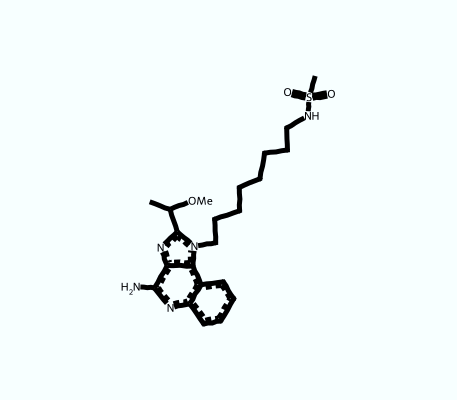 COC(C)c1nc2c(N)nc3ccccc3c2n1CCCCCCCCNS(C)(=O)=O